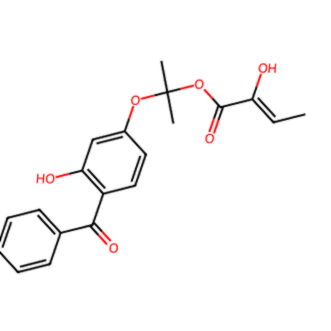 CC=C(O)C(=O)OC(C)(C)Oc1ccc(C(=O)c2ccccc2)c(O)c1